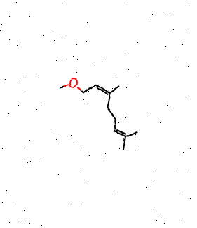 COC/C=C(/C)CCC=C(C)C